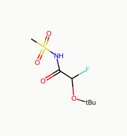 CC(C)(C)OC(F)C(=O)NS(C)(=O)=O